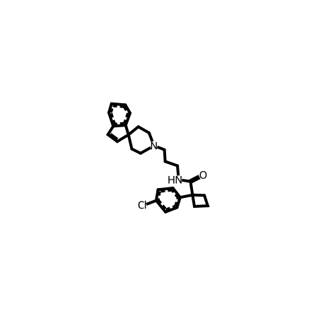 O=C(NCCCN1CCC2(C=Cc3ccccc32)CC1)C1(c2ccc(Cl)cc2)CCC1